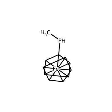 CP[C]12[CH]3[CH]4[CH]5[CH]1[Fe]45321678[CH]2[CH]1[CH]6[CH]7[CH]28